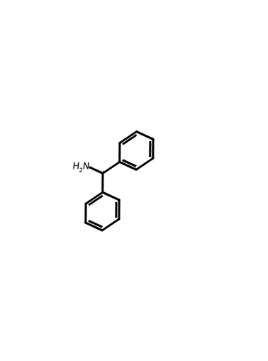 N[C](c1ccccc1)c1ccccc1